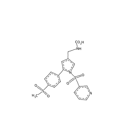 CS(=O)(=O)c1ccc(-c2cc(CNC(=O)O)cn2S(=O)(=O)c2cccnc2)cc1